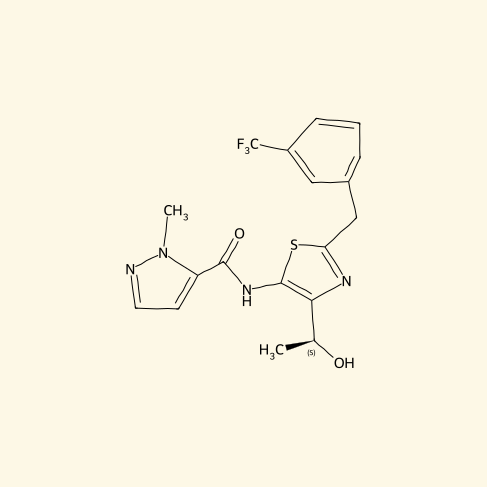 C[C@H](O)c1nc(Cc2cccc(C(F)(F)F)c2)sc1NC(=O)c1ccnn1C